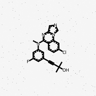 CN(c1cc(F)cc(C#CC(C)(C)O)c1)c1nc2cncn2c2cc(Cl)ccc12